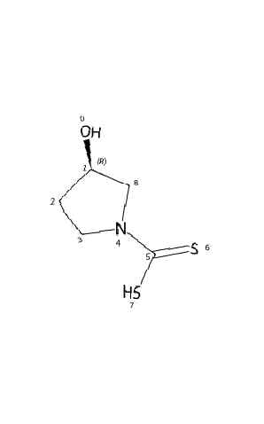 O[C@@H]1CCN(C(=S)S)C1